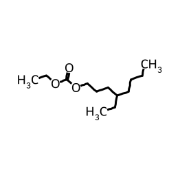 CCCCC(CC)CCCOC(=O)OCC